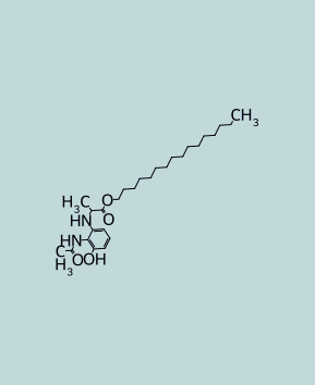 CCCCCCCCCCCCCCCCOC(=O)C(C)Nc1cccc(O)c1NC(C)=O